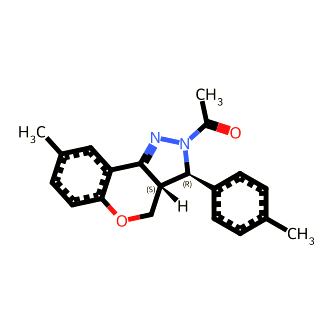 CC(=O)N1N=C2c3cc(C)ccc3OC[C@H]2[C@@H]1c1ccc(C)cc1